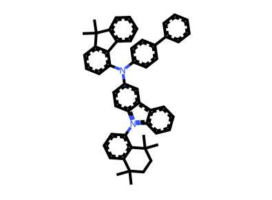 CC1(C)CCC(C)(C)c2c(-n3c4ccccc4c4cc(N(c5ccc(-c6ccccc6)cc5)c5cccc6c5-c5ccccc5C6(C)C)ccc43)cccc21